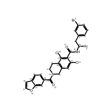 CC(=O)[C@H](Cc1cccc(Br)c1)NC(=O)c1c(Cl)cc2c(c1Cl)CCN(C(=O)c1ccc3ccoc3c1)C2